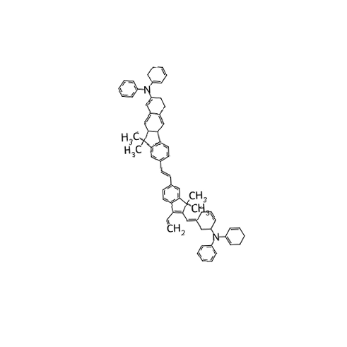 C=CC1=C(/C=C2\CC=CC(N(C3=CCCC=C3)c3ccccc3)C2)C(C)(C)c2cc(/C=C/c3ccc4c(c3)C(C)(C)C3C=C5C=C(N(C6=CC=CCC6)c6ccccc6)CCC5=CC43)ccc21